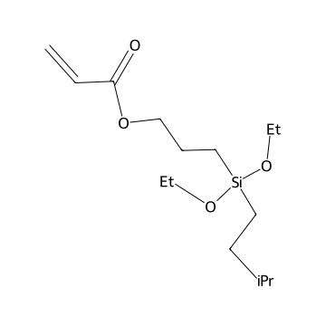 C=CC(=O)OCCC[Si](CCC(C)C)(OCC)OCC